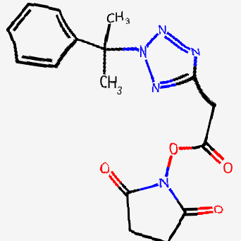 CC(C)(c1ccccc1)n1nnc(CC(=O)ON2C(=O)CCC2=O)n1